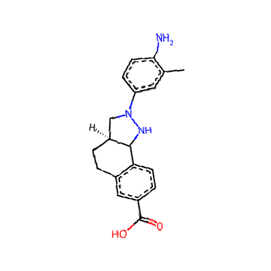 Cc1cc(N2C[C@@H]3CCc4cc(C(=O)O)ccc4C3N2)ccc1N